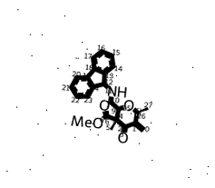 C=C1C(=O)[C@](C)(C(=O)OC)C(CNC2c3ccccc3-c3ccccc32)O[C@H]1C